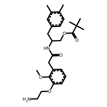 COc1c(CC(=O)NC(COC(=O)C(C)(C)C)Cc2ccc(C)c(C)c2)cccc1OCCN